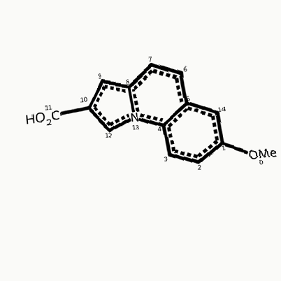 COc1ccc2c(ccc3cc(C(=O)O)cn32)c1